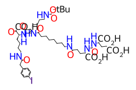 CC(C)(C)OC(=O)NCCCC[C@H](NC(=O)CCCCCCCNC(=O)CC[C@H](NC(=O)N[C@@H](CCC(=O)O)C(=O)O)C(=O)O)C(=O)N[C@@H](CCCCNC(=O)Cc1ccc(I)cc1)C(=O)C(=O)O